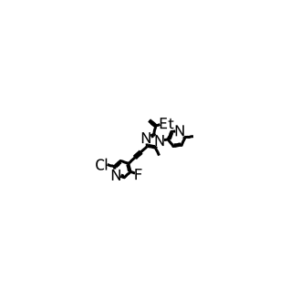 C=C(CC)c1nc(C#Cc2cc(Cl)ncc2F)c(C)n1-c1ccc(C)nc1